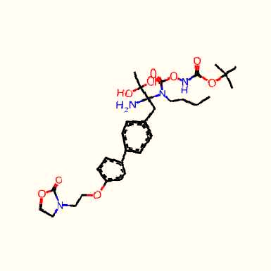 CCCCN(C(=O)ONC(=O)OC(C)(C)C)C(N)(Cc1ccc(-c2ccc(OCCN3CCOC3=O)cc2)cc1)C(C)(O)O